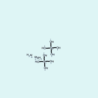 O[Si](O)(O)O.O[Si](O)(O)O.[AlH3].[MgH2]